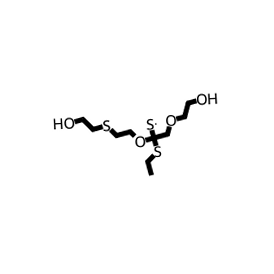 CCSC([S])(COCCO)OCCSCCO